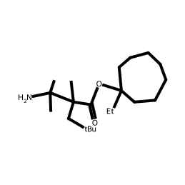 CCC1(OC(=O)C(C)(CC(C)(C)C)C(C)(C)N)CCCCCCC1